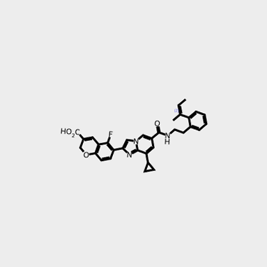 C/C=C(/C)c1ccccc1CCNC(=O)c1cc(C2CC2)c2nc(-c3ccc4c(c3F)C=C(C(=O)O)CO4)cn2c1